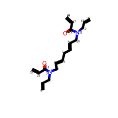 C=CCN(C/C=C/C/C=C/CN(CC=C)C(=O)C=C)C(=O)C=C